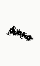 COc1ccc(OC)c(N[S+]([O-])c2ccc(NC(=O)CSc3ccc(C)cc3)cc2)c1